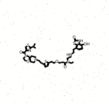 CCN(CCNCCc1ccc(O)c2[nH]c(=O)sc12)C(=O)CCOCCc1ccc(CCN2CCC3(CC2)CN(C(=O)c2csc(C(C)C)n2)CCO3)s1